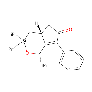 CCC[C@@H]1O[Si](C(C)C)(C(C)C)C[C@@H]2CC(=O)C(c3ccccc3)=C21